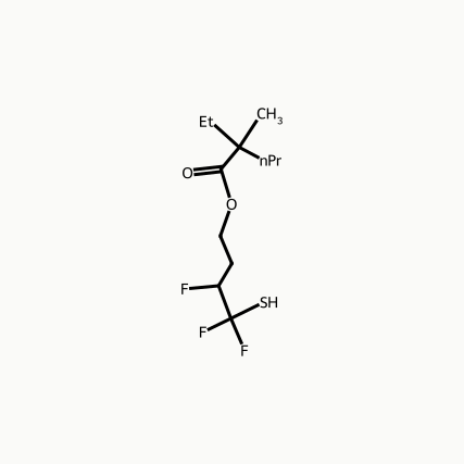 CCCC(C)(CC)C(=O)OCCC(F)C(F)(F)S